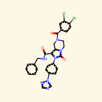 O=C(NCc1ccccc1)c1c2n(c(=O)n1-c1ccc(-n3cncn3)cc1)CCN(C(=O)c1ccc(Br)c(Cl)c1)C2